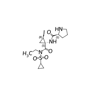 CCN(C(=O)[C@@]1(NC(=O)[C@@H]2CCCN2)C[C@H]1I)S(=O)(=O)C1CC1